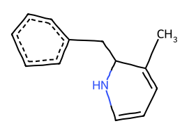 CC1=CC=CNC1Cc1ccccc1